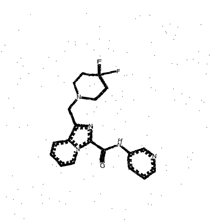 O=C(Nc1cccnc1)c1nc(CN2CCC(F)(F)CC2)c2ccccn12